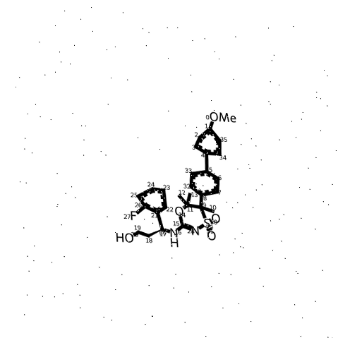 COc1ccc(-c2ccc(C3(C)C(C)(C)OC(N[C@@H](CCO)c4ccccc4F)=NS3(=O)=O)cc2)cc1